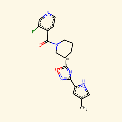 Cc1c[nH]c(-c2noc([C@H]3CCCN(C(=O)c4ccncc4F)C3)n2)c1